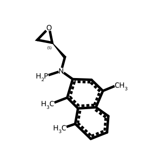 Cc1cc(N(P)C[C@H]2CO2)c(C)c2c(C)cccc12